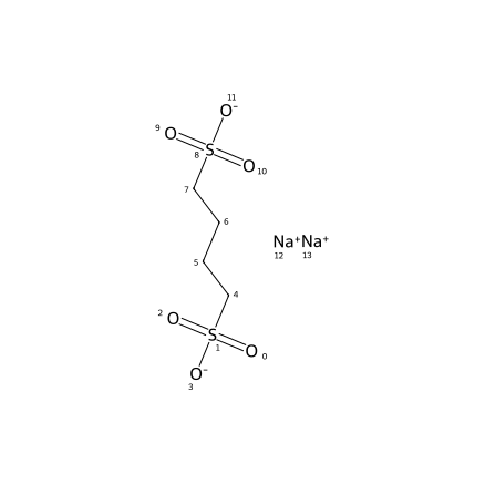 O=S(=O)([O-])CCCCS(=O)(=O)[O-].[Na+].[Na+]